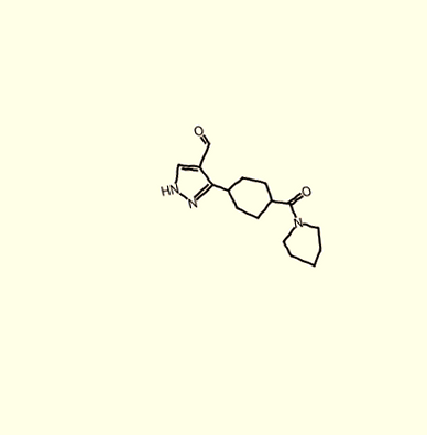 O=Cc1c[nH]nc1C1CCC(C(=O)N2CCCCC2)CC1